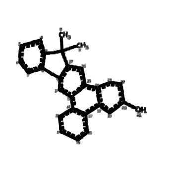 CC1(C)c2ccccc2-c2cc3c4ccccc4c4cc(O)ccc4c3cc21